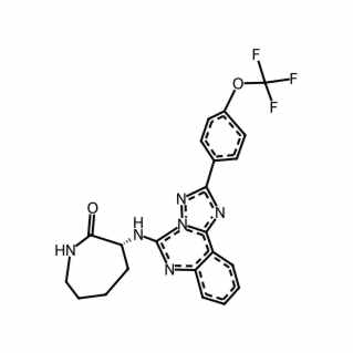 O=C1NCCCC[C@H]1Nc1nc2ccccc2c2nc(-c3ccc(OC(F)(F)F)cc3)nn12